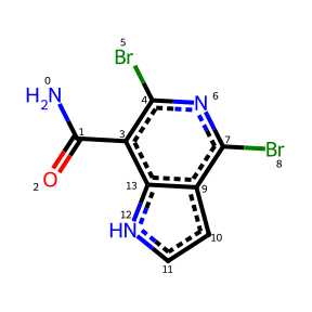 NC(=O)c1c(Br)nc(Br)c2cc[nH]c12